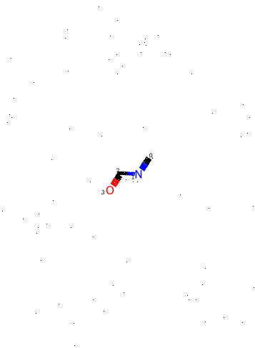 [CH]=NC=O